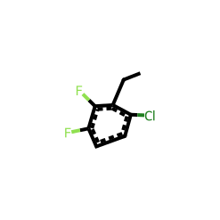 CCc1c(Cl)ccc(F)c1F